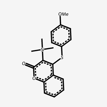 COc1ccc(Sc2c([Si](C)(C)C)c(=O)oc3ccccc23)cc1